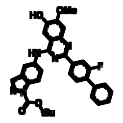 COc1cc2nc(-c3ccc(-c4ccccc4)c(F)c3)nc(Nc3ccc4c(cnn4C(=O)OC(C)(C)C)c3)c2cc1O